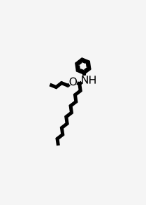 CCCCCCCCCCCC(Nc1ccccc1)OCCCC